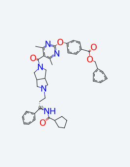 Cc1nc(Oc2ccc(C(=O)OCc3ccccc3)cc2)nc(C)c1C(=O)N1CC2CN(CC[C@H](NC(=O)C3CCCC3)c3ccccc3)CC2C1